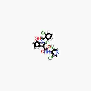 O=C(Nc1c(Cl)cncc1Cl)C(=O)c1cn(Cc2c(Cl)cccc2Cl)c2c(O)cccc12